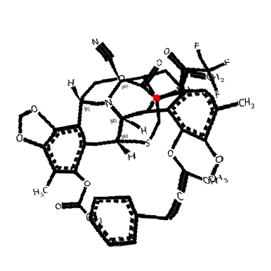 C=CCN1C2c3c(cc(C)c(OC)c3OC(O)=C=Cc3ccccc3)CC1[C@H](C#N)N1[C@H]2[C@@H]2SCC(NC(=O)C(F)(F)F)C(=O)OC[C@H]1c1c3c(c(C)c(OC(C)=O)c12)OCO3